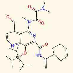 C=C(NC(=O)c1nc(N(C)C(=O)C(=O)N(C)C)c2c(C=O)ccnc2c1O[Si](C(C)C)(C(C)C)C(C)C)C1CC=CCC1